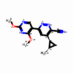 COc1ncc(-c2cc([C@H]3C[C@@H]3C)c(C#N)nn2)c(OC)n1